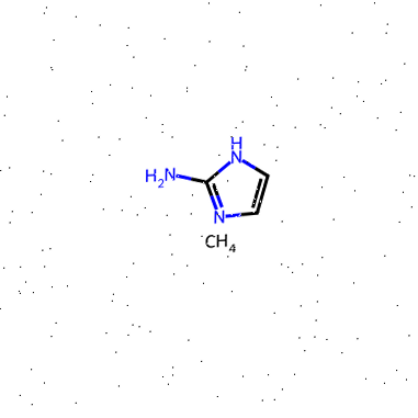 C.Nc1ncc[nH]1